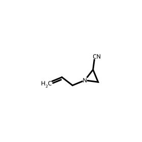 C=CCN1CC1C#N